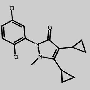 Cn1c(C2CC2)c(C2CC2)c(=O)n1-c1cc(Cl)ccc1Cl